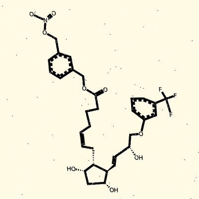 O=C(CCC/C=C\C[C@@H]1[C@@H](/C=C/[C@@H](O)COc2cccc(C(F)(F)F)c2)[C@H](O)C[C@@H]1O)OCc1cccc(CO[N+](=O)[O-])c1